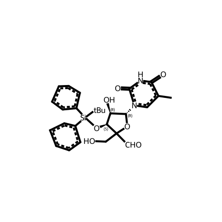 Cc1cn([C@@H]2OC(C=O)(CO)[C@@H](O[Si](c3ccccc3)(c3ccccc3)C(C)(C)C)[C@H]2O)c(=O)[nH]c1=O